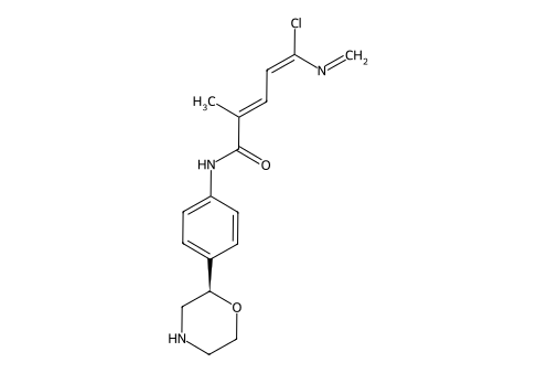 C=N/C(Cl)=C\C=C(/C)C(=O)Nc1ccc([C@@H]2CNCCO2)cc1